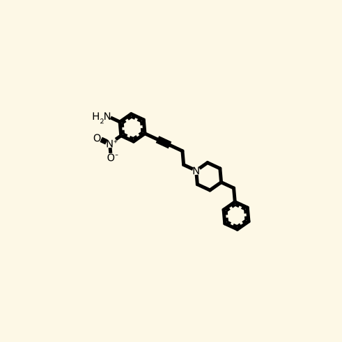 Nc1ccc(C#CCCN2CCC(Cc3ccccc3)CC2)cc1[N+](=O)[O-]